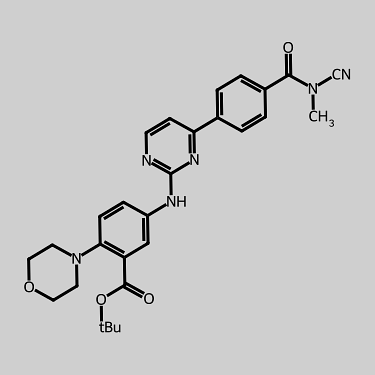 CN(C#N)C(=O)c1ccc(-c2ccnc(Nc3ccc(N4CCOCC4)c(C(=O)OC(C)(C)C)c3)n2)cc1